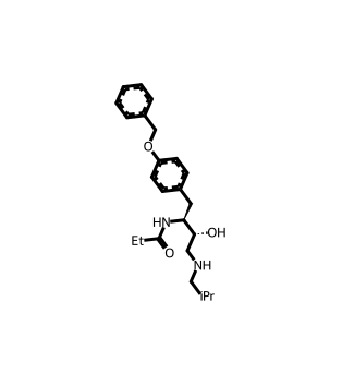 CCC(=O)N[C@@H](Cc1ccc(OCc2ccccc2)cc1)[C@H](O)CNCC(C)C